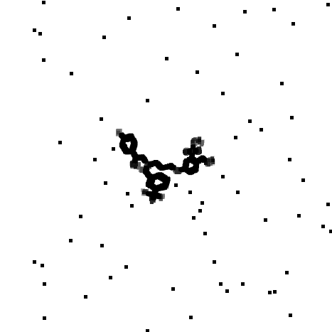 CC(CN(CCCOc1ccc(CO)c(S(C)(=O)=O)c1)Cc1cccc(C(F)(F)F)c1)c1ccc(F)cc1